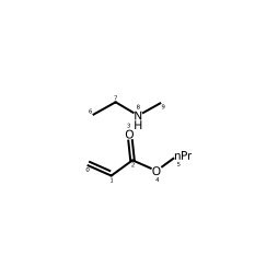 C=CC(=O)OCCC.CCNC